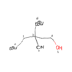 CC(C)(C)CC(C#N)(CO)C(C)(C)C